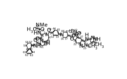 CN[C@@H](C)C(=O)N[C@H]1CN(C(=O)c2ccc(N3CCC(COc4cc5ncnc(Nc6n[nH]c(C)c6C)c5cc4S(=O)(=O)C(C)(C)C)CC3)cc2)CC[C@H]2CC[C@@H](C(=O)N[C@@H]3CCCc4ccccc43)N2C1=O